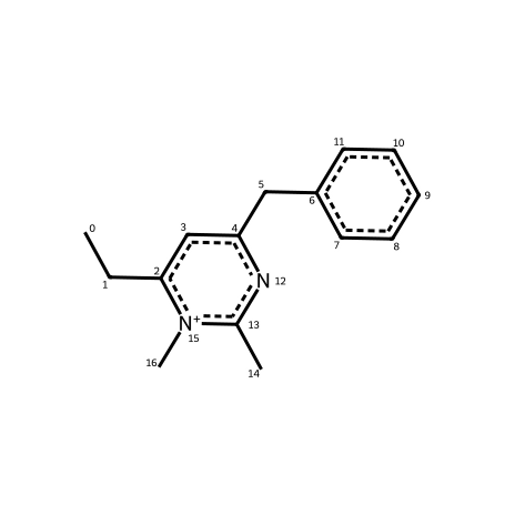 CCc1cc(Cc2ccccc2)nc(C)[n+]1C